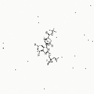 CN(C)C[C@@]1(COc2nc(N3C[C@@]4(C)CC[C@H]3CN4C(=O)OC(C)(C)C)c3cc(F)cc(F)c3n2)CC1(F)F